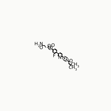 CC(C)=CC(=O)N1CCN(c2ccc(-c3ccc(N4C[C@H](CCC(N)=O)OC4=O)cc3F)cn2)CC1